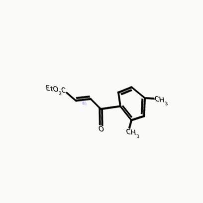 CCOC(=O)/C=C/C(=O)c1ccc(C)cc1C